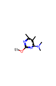 CCOc1nc(C)c(C)c(N(C)C)n1